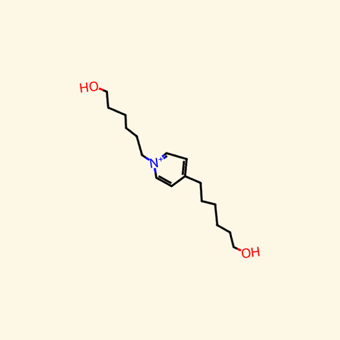 OCCCCCCc1cc[n+](CCCCCCO)cc1